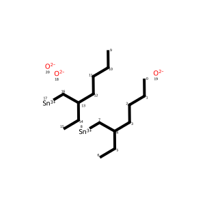 CCCCC(CC)[CH2][Sn+3].CCCCC(CC)[CH2][Sn+3].[O-2].[O-2].[O-2]